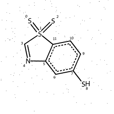 S=S1(=S)C=Nc2cc(S)ccc21